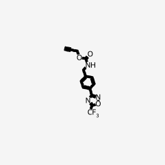 C#CCOC(=O)NCc1ccc(-c2noc(C(F)(F)F)n2)cc1